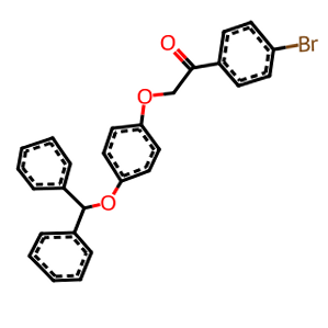 O=C(COc1ccc(OC(c2ccccc2)c2ccccc2)cc1)c1ccc(Br)cc1